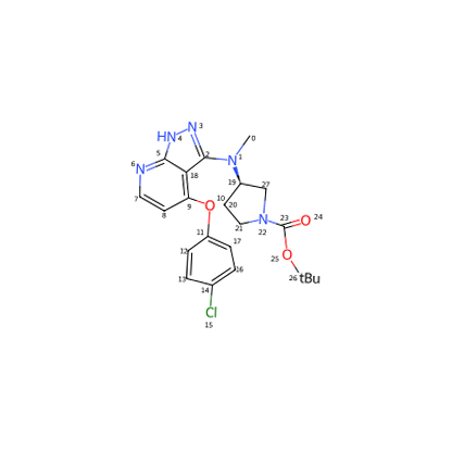 CN(c1n[nH]c2nccc(Oc3ccc(Cl)cc3)c12)[C@@H]1CCN(C(=O)OC(C)(C)C)C1